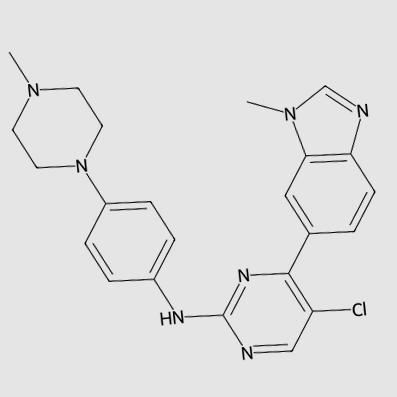 CN1CCN(c2ccc(Nc3ncc(Cl)c(-c4ccc5ncn(C)c5c4)n3)cc2)CC1